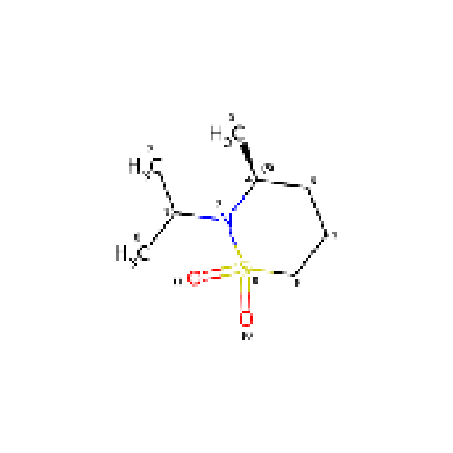 CC(C)N1[C@@H](C)CCCS1(=O)=O